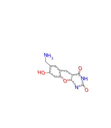 NCc1cc2cc3c(=O)[nH]c(=O)nc-3oc2cc1O